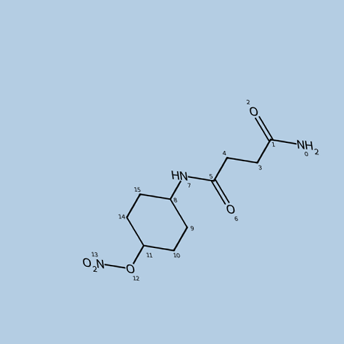 NC(=O)CCC(=O)NC1CCC(O[N+](=O)[O-])CC1